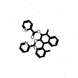 Cc1ccccc1C1c2ccccc2C(C)C(OC(=O)c2ccccn2)C1OC(=O)c1ccccn1